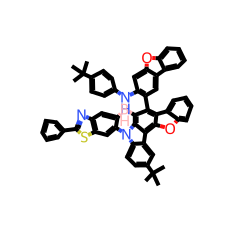 CC(C)(C)c1ccc(Nc2cc3oc4ccccc4c3cc2-c2c3c4c(c5cc(C(C)(C)C)ccc5n4-c4cc5sc(-c6ccccc6)nc5cc4B3)c3oc4ccccc4c23)cc1